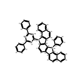 c1ccc(-c2nc(-c3ccccc3)nc(-n3c4ccc5c6ccc7ccccc7c6n(-c6ccccc6)c5c4c4ccc5ccccc5c43)n2)cc1